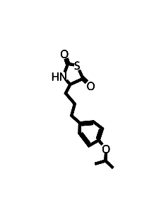 CC(C)Oc1ccc(CCCC2NC(=O)SC2=O)cc1